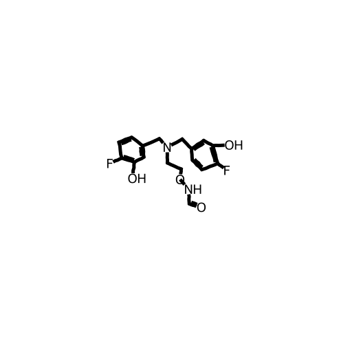 O=CNOCCN(Cc1ccc(F)c(O)c1)Cc1ccc(F)c(O)c1